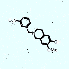 COc1cc2c(cc1O)CCN(Cc1cccc([N+](=O)[O-])c1)C2